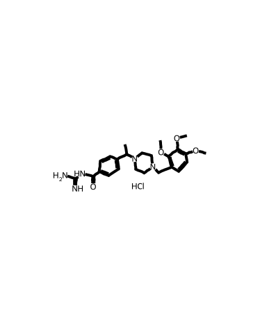 COc1ccc(CN2CCN(C(C)c3ccc(C(=O)NC(=N)N)cc3)CC2)c(OC)c1OC.Cl